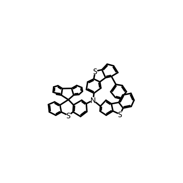 c1ccc(-c2cccc3sc4ccc(N(c5ccc6c(c5)C5(c7ccccc7S6)c6ccccc6-c6ccccc65)c5ccc6sc7ccccc7c6c5)cc4c23)cc1